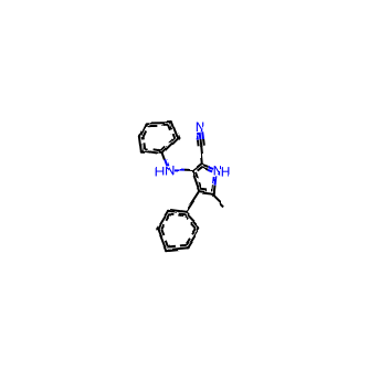 Cc1[nH]c(C#N)c(Nc2ccccc2)c1-c1ccccc1